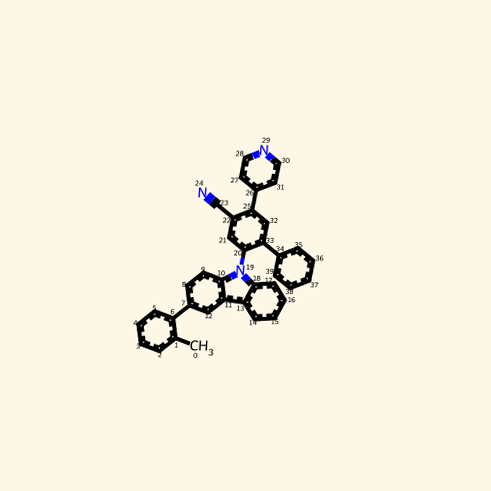 Cc1ccccc1-c1ccc2c(c1)c1ccccc1n2-c1cc(C#N)c(-c2ccncc2)cc1-c1ccccc1